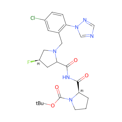 CC(C)(C)OC(=O)N1CCC[C@@H]1C(=O)NC(=O)C1C[C@@H](F)CN1Cc1cc(Cl)ccc1-n1cncn1